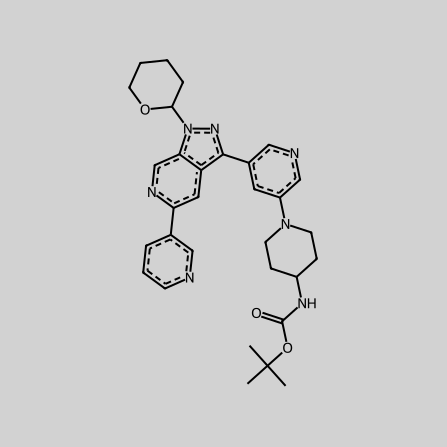 CC(C)(C)OC(=O)NC1CCN(c2cncc(-c3nn(C4CCCCO4)c4cnc(-c5cccnc5)cc34)c2)CC1